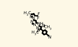 COc1c(Nc2cc(-n3nc(C)cc3C(F)F)ncn2)nn(C)c1-c1ccc(C#N)cc1